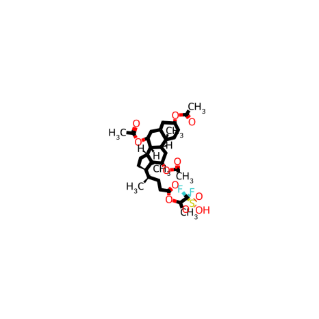 CC(=O)OC1CC[C@@]2(C)C(C1)CC(OC(C)=O)[C@H]1[C@@H]3CC[C@H]([C@H](C)CCC(=O)OC(C)C(F)(F)S(=O)(=O)O)[C@@]3(C)C(OC(C)=O)C[C@@H]12